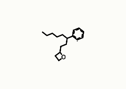 CCCCCC(CCC1CCO1)c1[c]cccc1